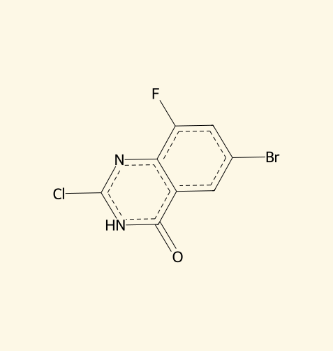 O=c1[nH]c(Cl)nc2c(F)cc(Br)cc12